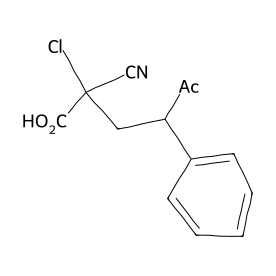 CC(=O)C(CC(Cl)(C#N)C(=O)O)c1ccccc1